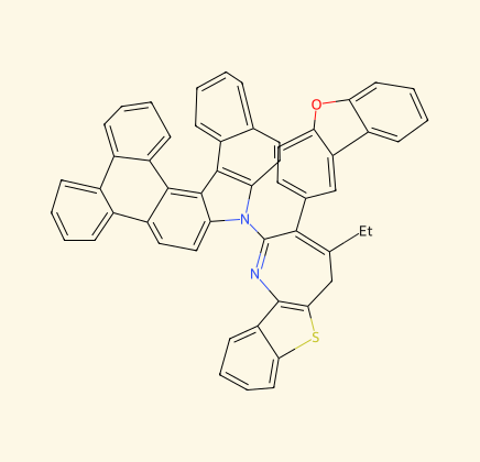 CCC1=C(c2ccc3oc4ccccc4c3c2)C(n2c3ccc4ccccc4c3c3c4c5ccccc5c5ccccc5c4ccc32)=Nc2c(sc3ccccc23)C1